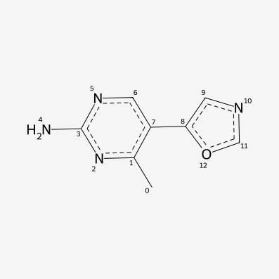 Cc1nc(N)ncc1-c1cnco1